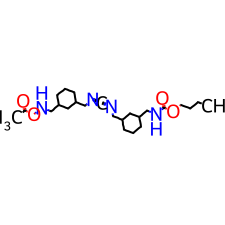 CCCCOC(=O)NCC1CCCC(CN=C=NCC2CCCC(CNOC(C)=O)C2)C1